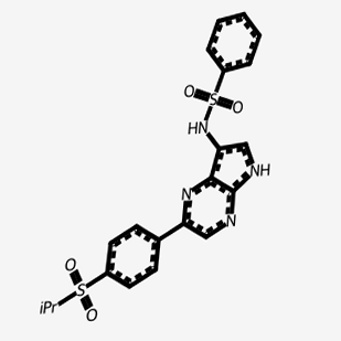 CC(C)S(=O)(=O)c1ccc(-c2cnc3[nH]cc(NS(=O)(=O)c4ccccc4)c3n2)cc1